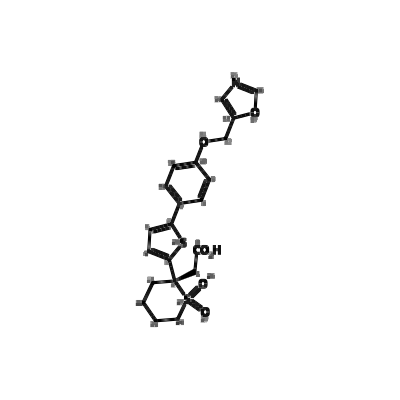 O=C(O)C[C@]1(c2ccc(-c3ccc(OCc4cnco4)cc3)s2)CCCCS1(=O)=O